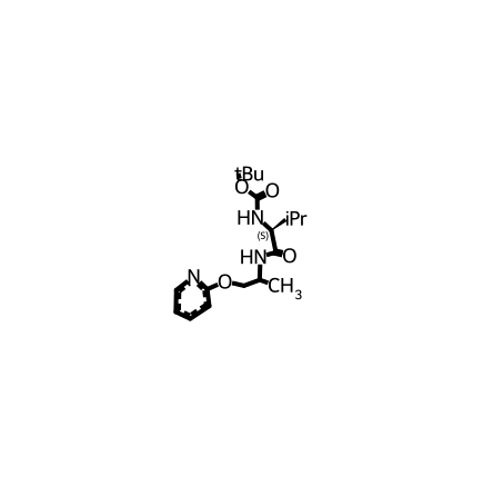 CC(COc1ccccn1)NC(=O)[C@@H](NC(=O)OC(C)(C)C)C(C)C